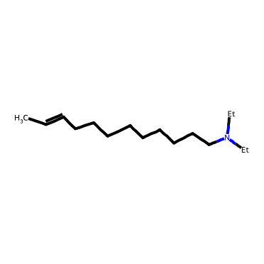 CC=CCCCCCCCCCN(CC)CC